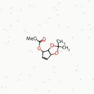 COC(=O)OC1C=CC2OC(C)(C)OC12